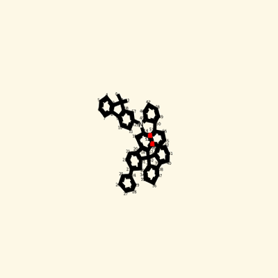 CC1(C)c2ccccc2-c2ccc(N(c3ccc4c(c3)-c3ccc(-c5ccccc5)cc3C43c4ccccc4-c4ccccc43)c3ccccc3-c3ccccc3)cc21